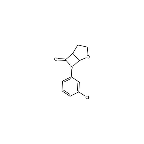 O=C1C2CCOC2N1c1cccc(Cl)c1